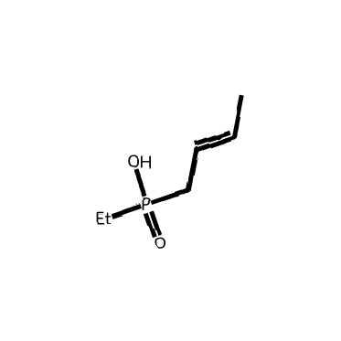 CC=CCP(=O)(O)CC